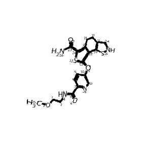 COCCNC(=O)c1ccc(Oc2sc(C(N)=O)c3c2C2=C(CC3)CNS2)cn1